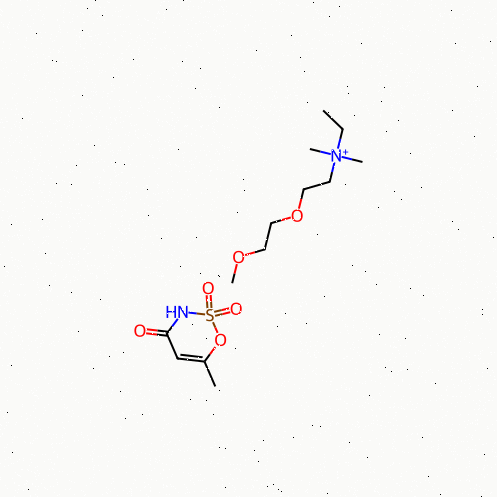 CC1=CC(=O)NS(=O)(=O)O1.CC[N+](C)(C)CCOCCOC